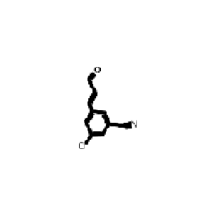 N#Cc1cc(Cl)cc(C=CC=O)c1